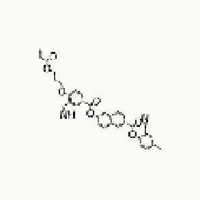 C=CC(=O)OCCCOc1ccc(C(=O)Oc2ccc3cc(C(=O)Oc4ccc(C)cc4C#N)ccc3c2)cc1C=N